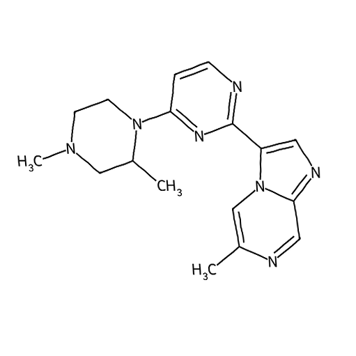 Cc1cn2c(-c3nccc(N4CCN(C)CC4C)n3)cnc2cn1